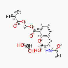 CCC(=O)N[C@H]1Cc2cccc(C(=O)OCOC(=O)C(CC)CC)c2OB1O.OBO